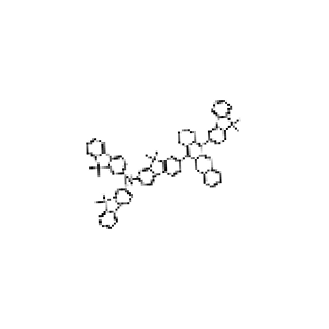 CC1(C)c2ccccc2-c2cc(-c3c4ccccc4c(-c4ccc5c(c4)C(C)(C)c4cc(N(c6ccc7c(c6)C(C)(C)c6ccccc6-7)c6ccc7c(c6)C(C)(C)c6ccccc6-7)ccc4-5)c4cc5ccccc5cc34)ccc21